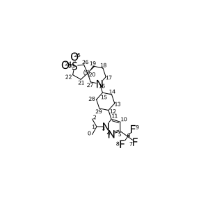 CC(C)n1nc(C(F)(F)F)cc1C1CCC(N2CCC[C@]3(CCS(=O)(=O)C3)C2)CC1